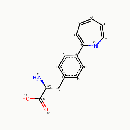 N[C@@H](Cc1ccc(C2=CC=CC=CN2)cc1)C(=O)O